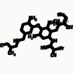 CC(CC#N)CNCC1CCC(N)C(OC2C(N)CC(NC(=N)C(C#N)C(C)C)C(CC(C)/C(O)=C\C(C)(C)C)C2N)C1